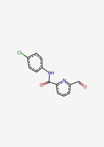 O=Cc1cccc(C(=O)Nc2ccc(Cl)cc2)n1